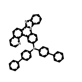 c1ccc(-c2ccc(N(c3ccc(-c4ccccc4)cc3)c3ccc4c(c3)c3c(ccc5cccnc53)c3nc5ccccc5n43)cc2)cc1